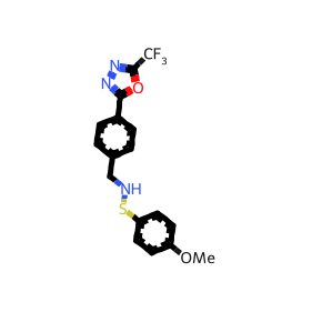 COc1ccc(SNCc2ccc(-c3nnc(C(F)(F)F)o3)cc2)cc1